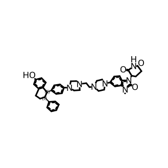 Cn1c(=O)n(C2CCC(=O)NC2=O)c2ccc(N3CCN(CCN4CCN(c5ccc([C@@H]6c7ccc(O)cc7CC[C@@H]6c6ccccc6)cc5)CC4)CC3)cc21